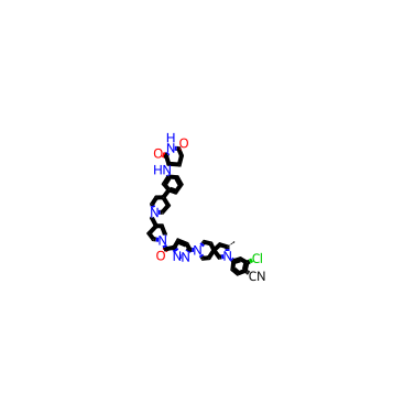 C[C@H]1CC2(CCN(c3ccc(C(=O)N4CCC(CN5CCC(c6cccc(N[C@H]7CCC(=O)NC7=O)c6)CC5)CC4)nn3)CC2)CN1c1ccc(C#N)c(Cl)c1